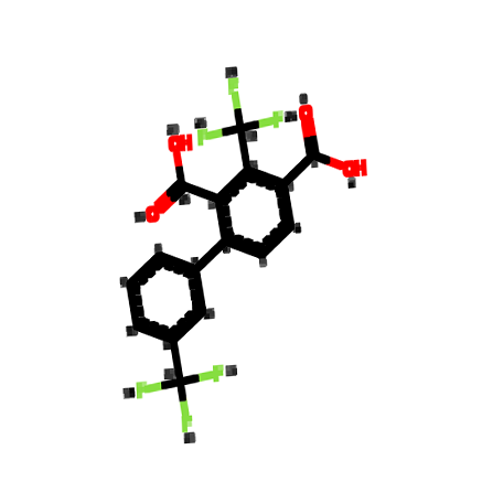 O=C(O)c1ccc(-c2cccc(C(F)(F)F)c2)c(C(=O)O)c1C(F)(F)F